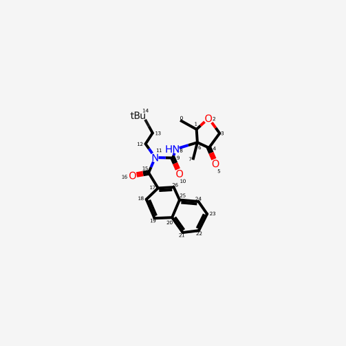 CC1OCC(=O)C1(C)NC(=O)N(CCC(C)(C)C)C(=O)c1ccc2ccccc2c1